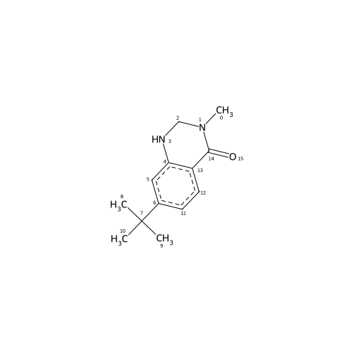 CN1CNc2cc(C(C)(C)C)ccc2C1=O